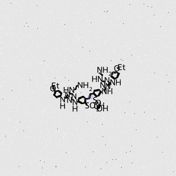 CCOc1ccc(Nc2nc(NCCN)nc(Nc3ccc(/C=C/c4ccc(Nc5nc(NCCN)nc(Nc6ccc(OCC)cc6)n5)cc4S(=O)(=O)O)c(SOOO)c3)n2)cc1